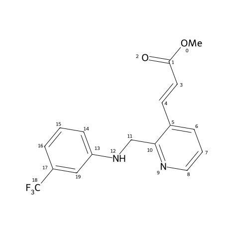 COC(=O)C=Cc1cccnc1CNc1cccc(C(F)(F)F)c1